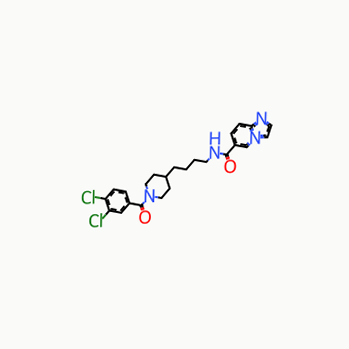 O=C(NCCCCC1CCN(C(=O)c2ccc(Cl)c(Cl)c2)CC1)c1ccc2nccn2c1